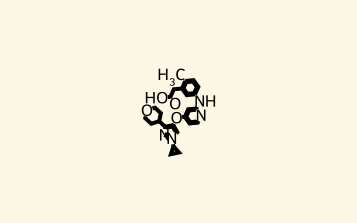 Cc1ccc(Nc2cc(Oc3cn(C4CC4)nc3C3CCOCC3)ccn2)cc1CC(=O)O